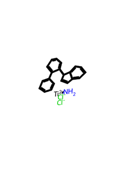 C1=CC(c2ccccc2-c2ccccc2)c2ccccc21.[Cl-].[Cl-].[NH2][Ti+2]